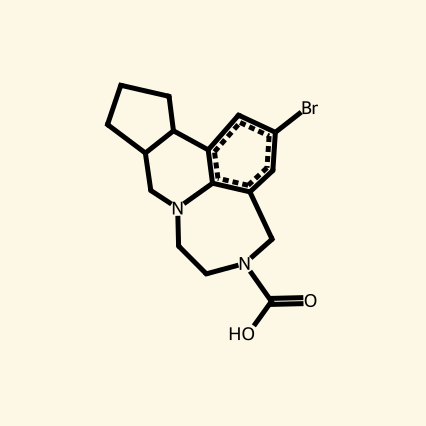 O=C(O)N1CCN2CC3CCCC3c3cc(Br)cc(c32)C1